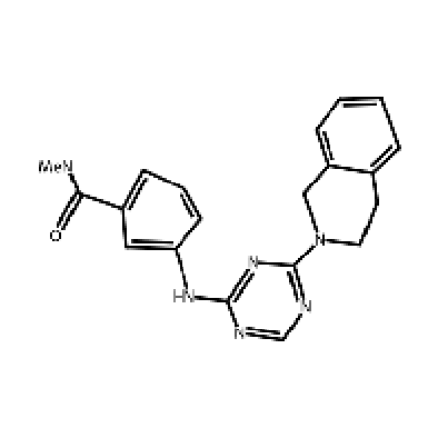 CNC(=O)c1cccc(Nc2ncnc(N3CCc4ccccc4C3)n2)c1